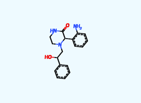 Nc1ccccc1C1C(=O)NCCN1CC(O)c1ccccc1